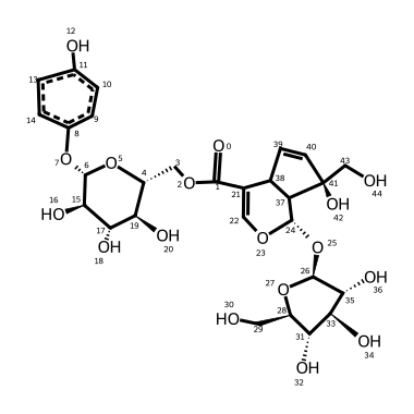 O=C(OC[C@H]1O[C@@H](Oc2ccc(O)cc2)[C@H](O)[C@@H](O)[C@@H]1O)C1=CO[C@@H](O[C@@H]2O[C@H](CO)[C@@H](O)[C@H](O)[C@H]2O)C2C1C=C[C@]2(O)CO